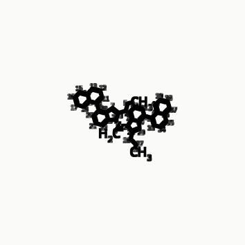 [CH2]=[Zr]([CH]1C(CCC)=Cc2c(-c3cccc4ccccc34)cccc21)[CH]1C(CCC)=Cc2c(-c3cccc4ccccc34)cccc21